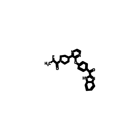 C[C@@H](F)C(=O)N1CCC(c2nccnc2Oc2ccc(C(=O)C3=NC4C=CC=CC4N3)cc2)CC1